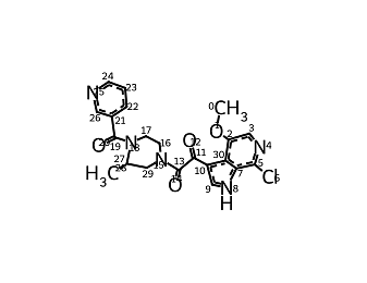 COc1cnc(Cl)c2[nH]cc(C(=O)C(=O)N3CCN(C(=O)c4cccnc4)[C@H](C)C3)c12